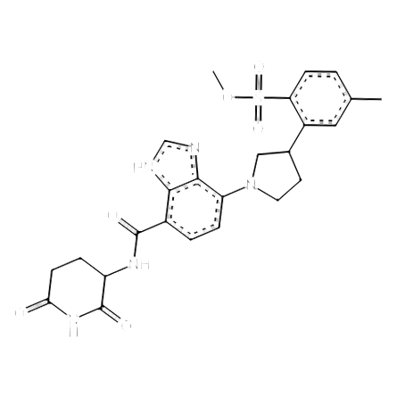 COS(=O)(=O)c1ccc(C)cc1C1CCN(c2ccc(C(=O)NC3CCC(=O)NC3=O)c3[nH]cnc23)C1